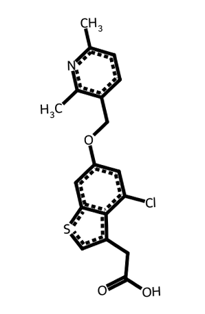 Cc1ccc(COc2cc(Cl)c3c(CC(=O)O)csc3c2)c(C)n1